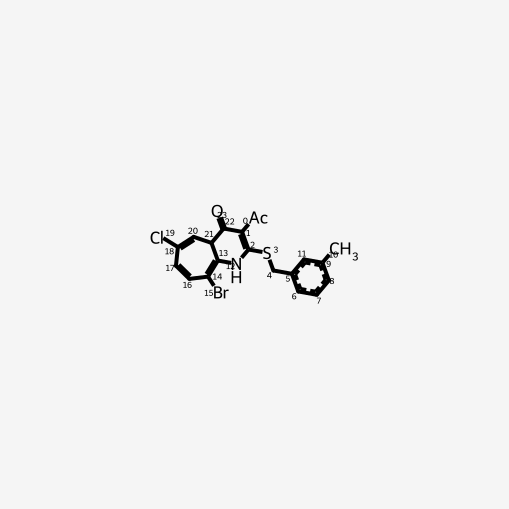 CC(=O)C1=C(SCc2cccc(C)c2)NC2=C(Br)C=CC(Cl)=CC2C1=O